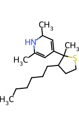 CCCCCCC1CCSC1(C)C1=CC(C)NC(C)=C1